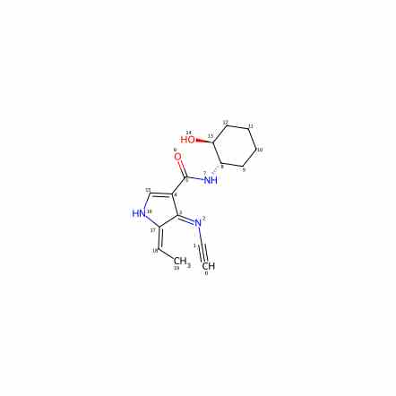 C#C/N=C1/C(C(=O)N[C@H]2CCCC[C@@H]2O)=CN/C1=C/C